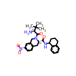 CC(C)(C)[C@H](N)C(=O)N1Cc2cc([N+](=O)[O-])ccc2C[C@H]1C(=O)NC1CCCc2ccccc21